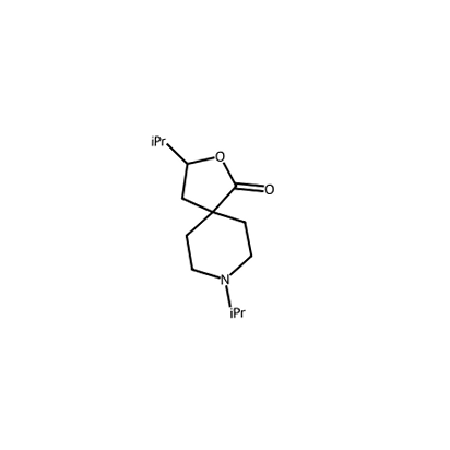 CC(C)C1CC2(CCN(C(C)C)CC2)C(=O)O1